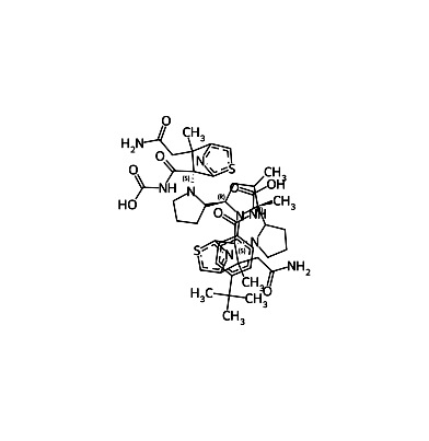 CC1C[C@H](C2CCCN2[C@@]2(C(=O)NC(=O)O)c3nc(cs3)C2(C)CC(N)=O)N(c2ccc(C(C)(C)C)cc2)[C@@]1(C)C1CCCN1[C@@]1(C(=O)NC(=O)O)c2nc(cs2)C1(C)CC(N)=O